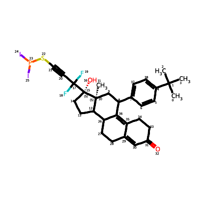 CC(C)(C)c1ccc(C2C[C@@]3(C)C(CC[C@@]3(O)C(F)(F)C#CSP(I)I)C3CCC4=CC(=O)CCC4=C23)cc1